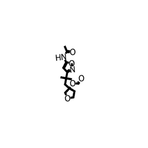 CC(=O)Nc1cc(C(C)(C)CC2(OC=O)CCOC2)no1